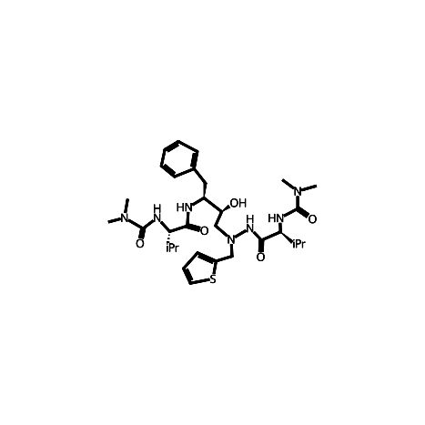 CC(C)[C@H](NC(=O)N(C)C)C(=O)N[C@@H](Cc1ccccc1)[C@@H](O)CN(Cc1cccs1)NC(=O)[C@@H](NC(=O)N(C)C)C(C)C